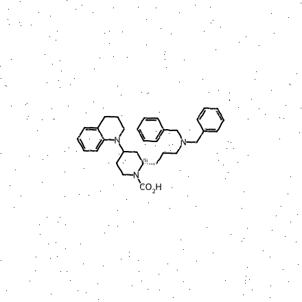 O=C(O)N1CCC(N2CCCc3ccccc32)C[C@@H]1CCCN(Cc1ccccc1)Cc1ccccc1